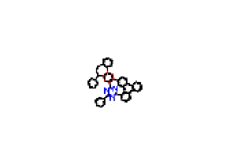 c1ccc(-c2nc(-c3ccccc3)nc(-c3cccc4c5ccccc5c5ccc(-c6ccc7c(c6)-c6ccccc6CCC7c6ccccc6)cc5c34)n2)cc1